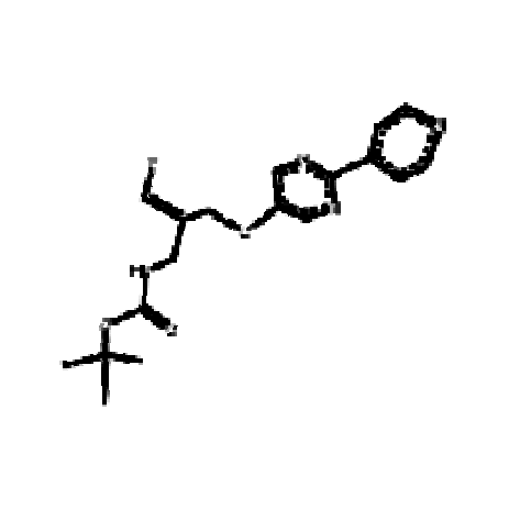 CC(C)(C)OC(=O)NC/C(=C/F)COc1cnc(-c2ccncc2)nc1